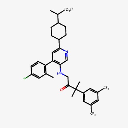 CCOC(=O)C(C)C1CCC(c2cc(-c3ccc(F)cc3C)c(NCC(=O)C(C)(C)c3cc(C(F)(F)F)cc(C(F)(F)F)c3)cn2)CC1